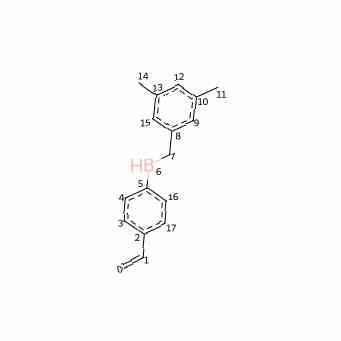 C=Cc1ccc(BCc2cc(C)cc(C)c2)cc1